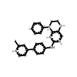 Cc1cc(-c2ccc(Nc3ncc4c(n3)N(c3ccccc3)CCO4)cc2)ccn1